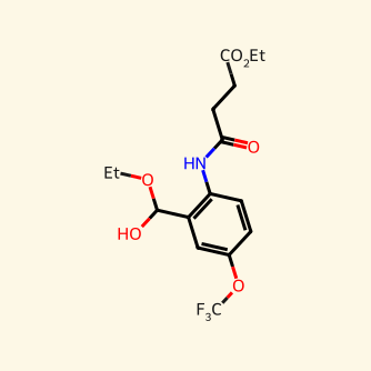 CCOC(=O)CCC(=O)Nc1ccc(OC(F)(F)F)cc1C(O)OCC